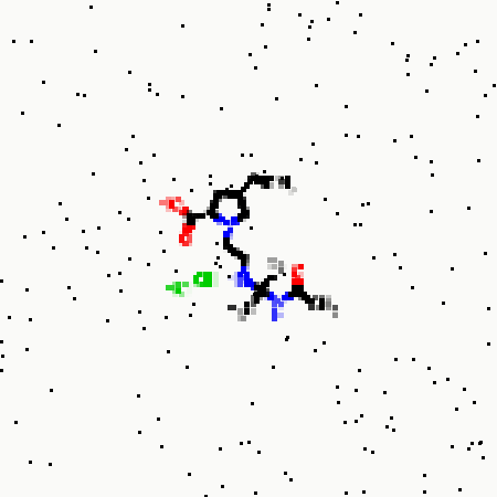 C=C[C@@H]1C[C@H](C(=O)O)N(CCNC(C)(C)NC(C)=O)C1.Cl.Cl